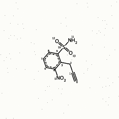 C#CCc1c([N+](=O)[O-])cccc1S(N)(=O)=O